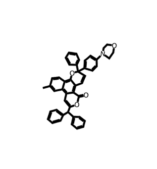 Cc1ccc2c3c(c4c(=O)oc(C(c5ccccc5)c5ccccc5)cc4c2c1)C=CC(c1ccccc1)(c1ccc(N2CCOCC2)cc1)O3